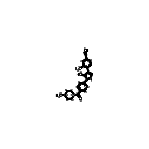 C#Cc1ccc(-c2cnn(-c3ccc(C(=O)N4CCN(C)CC4)cn3)c2O)c(C)c1